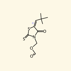 CC(C)(C)/C=C1/SC(=S)N(COC=O)C1=O